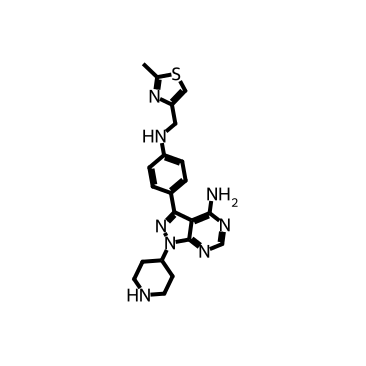 Cc1nc(CNc2ccc(-c3nn(C4CCNCC4)c4ncnc(N)c34)cc2)cs1